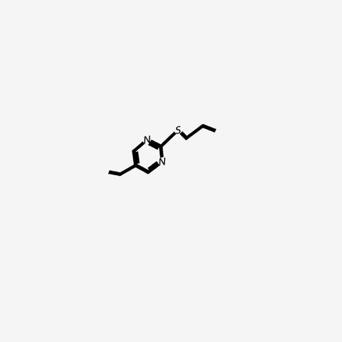 CCCSc1ncc(CC)cn1